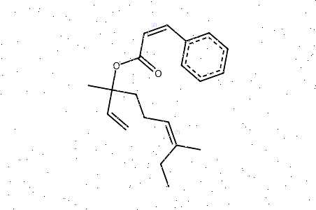 C=CC(C)(CC/C=C(/C)CC)OC(=O)/C=C\c1ccccc1